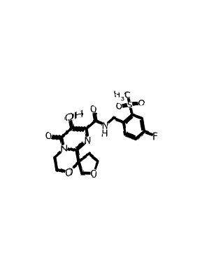 CS(=O)(=O)c1cc(F)ccc1CNC(=O)c1nc2n(c(=O)c1O)CCOC21CCOC1